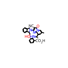 Cc1cc([C@@H](C)Nc2ccccc2C(=O)O)c2nc(N3Cc4ccccc4C3CO)c(C#N)c(=O)n2c1